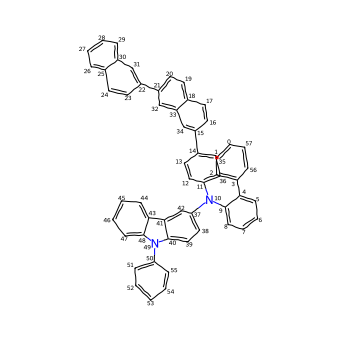 c1ccc(-c2ccccc2N(c2ccc(-c3ccc4ccc(-c5ccc6ccccc6c5)cc4c3)cc2)c2ccc3c(c2)c2ccccc2n3-c2ccccc2)cc1